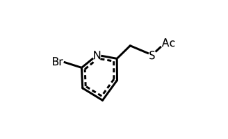 CC(=O)SCc1cccc(Br)n1